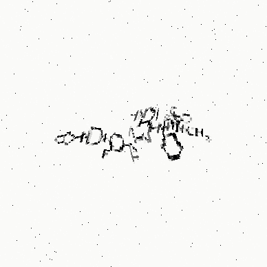 CN(c1ccccc1Nc1nc(Nc2ccc(N3CCN(C4COC4)CC3)c(F)c2)nc2[nH]ccc12)S(C)(=O)=O